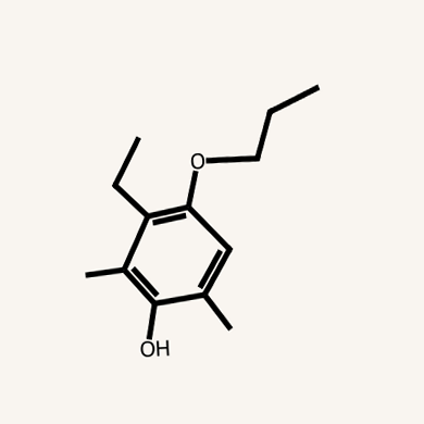 CCCOc1cc(C)c(O)c(C)c1CC